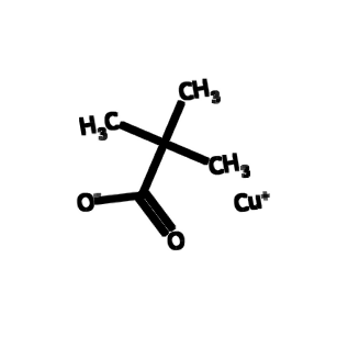 CC(C)(C)C(=O)[O-].[Cu+]